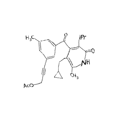 CC(=O)OCC#Cc1cc(C)cc(C(=O)c2c(CC3CC3)c(C)[nH]c(=O)c2C(C)C)c1